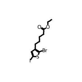 CCOC(=O)CCCCc1cc(I)sc1Br